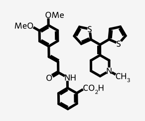 CN1CCCC(=C(c2cccs2)c2cccs2)C1.COc1ccc(/C=C/C(=O)Nc2ccccc2C(=O)O)cc1OC